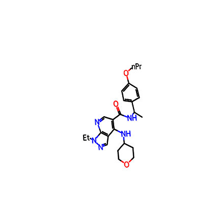 CCCOc1ccc(C(C)NC(=O)c2cnc3c(cnn3CC)c2NC2CCOCC2)cc1